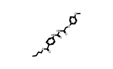 CCCCOC(=O)c1ccc(NC(=S)NC(=O)COc2ccc(OC)cc2)cc1